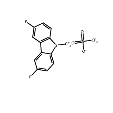 Fc1ccc2c(c1)c1cc(F)ccc1[s+]2C(F)(F)F.O=S(=O)([O-])C(F)(F)F